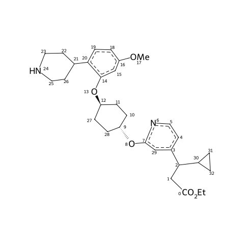 CCOC(=O)CC(c1ccnc(O[C@H]2CC[C@H](Oc3cc(OC)ccc3C3CCNCC3)CC2)c1)C1CC1